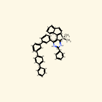 C[Si]1(C)c2ccc3ccccc3c2-c2c(-c3cccc(-c4cccc(-c5ccc(-c6ccccc6)cc5)c4)c3)nc(-c3ccccc3)nc21